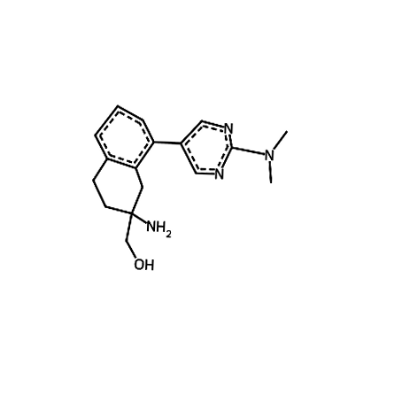 CN(C)c1ncc(-c2cccc3c2CC(N)(CO)CC3)cn1